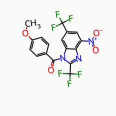 COc1ccc(C(=O)n2c(C(F)(F)F)nc3c([N+](=O)[O-])cc(C(F)(F)F)cc32)cc1